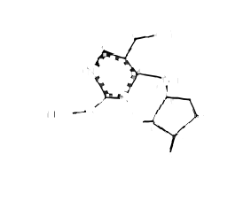 CSc1ncc(CO)c(N[C@H]2CCC(O)C2C)n1